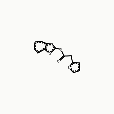 O=C(Cc1cccs1)Sc1nc2ccccc2o1